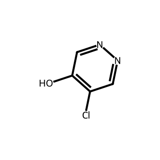 Oc1cnncc1Cl